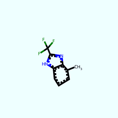 Cc1cccc2[nH]c(C(F)(F)F)nc12